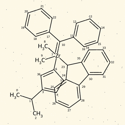 CC(C)C1=CC[C]([Zr]([CH3])([CH3])(=[C](c2ccccc2)c2ccccc2)[CH]2c3ccccc3-c3ccccc32)=C1